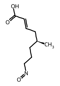 C[C@H](C/C=C/C(=O)O)CCCN=O